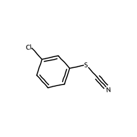 N#CSc1cccc(Cl)c1